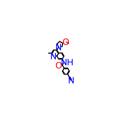 COC1CCN(c2cc(C)nc3cc(NC(=O)c4ccc(C#N)cc4)ccc23)C1